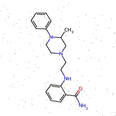 CC1CN(CCNc2ccccc2C(N)=O)CCN1c1ccccc1